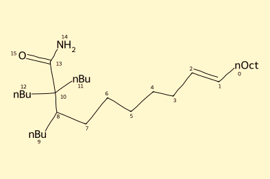 CCCCCCCCC=CCCCCCC(CCCC)C(CCCC)(CCCC)C(N)=O